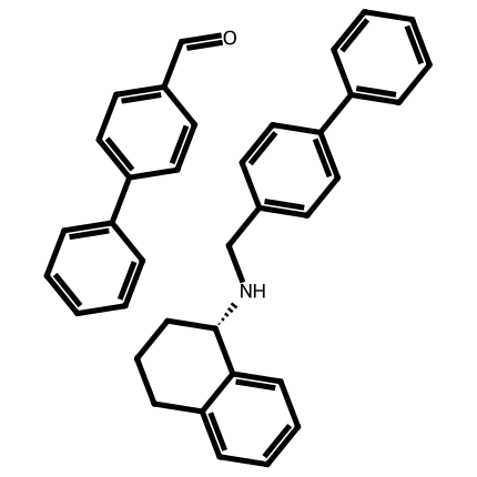 O=Cc1ccc(-c2ccccc2)cc1.c1ccc(-c2ccc(CN[C@H]3CCCc4ccccc43)cc2)cc1